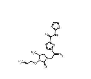 C=CCON1C(=O)N(CC(=C)n2ccc(C(=O)Nc3nccs3)n2)CC1C